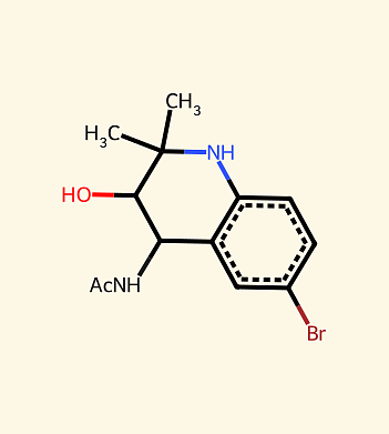 CC(=O)NC1c2cc(Br)ccc2NC(C)(C)C1O